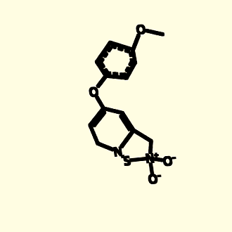 COc1ccc(OC2=CCN3S[N+]([O-])([O-])CC3=C2)cc1